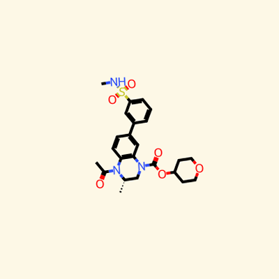 CNS(=O)(=O)c1cccc(-c2ccc3c(c2)N(C(=O)OC2CCOCC2)C[C@H](C)N3C(C)=O)c1